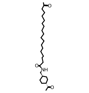 CC(=O)CCCCCCCCCCCCCCCCC(=O)NC[C@H]1CC[C@H](C(C)=O)CC1